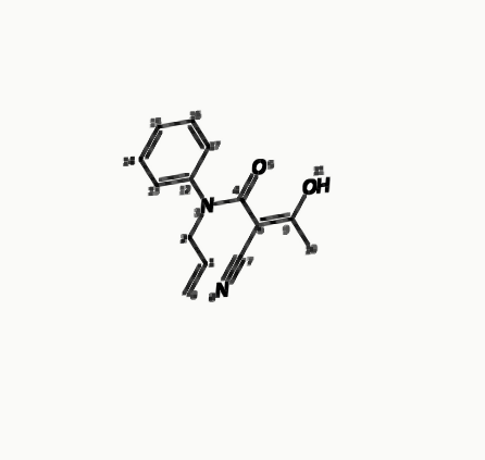 C=CCN(C(=O)C(C#N)=C(C)O)c1ccccc1